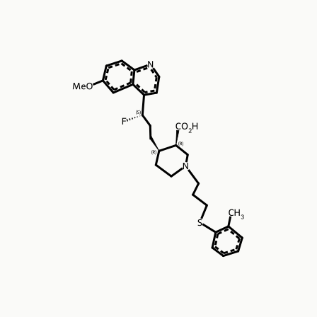 COc1ccc2nccc([C@@H](F)CC[C@@H]3CCN(CCCSc4ccccc4C)C[C@@H]3C(=O)O)c2c1